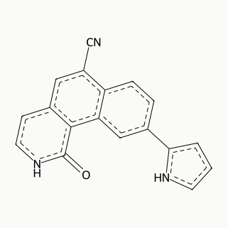 N#Cc1cc2cc[nH]c(=O)c2c2cc(-c3ccc[nH]3)ccc12